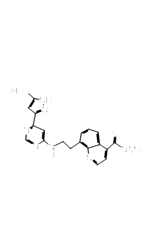 CNC(=O)c1ccnc2c(CCNc3cc(-c4cc(C)[nH]n4)ncn3)cccc12